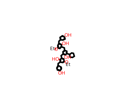 CCOc1cc(Cc2ccc(O)cc2)c(O)c(Cc2cc(Cc3cc(OCC)cc(Cc4ccc(O)cc4)c3O)c(O)c(C3CCCCC3)c2)c1